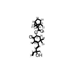 C=CC(C)(O)C=CC1=C(C)C(=O)[C@H](OC(=O)C2CC3CCC2(C)C3(C)C)CC1(C)C